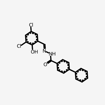 O=C(N/N=C/c1cc(Cl)cc(Cl)c1O)c1ccc(-c2ccccc2)cc1